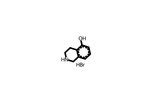 Br.Oc1cccc2c1CCNC2